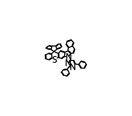 c1ccc(-c2cc(-n3c4cc5c(cc4c4c6ccccc6ccc43)C3(c4ccccc4S5)c4ccccc4-c4ccccc43)nc(-c3ccccc3)n2)cc1